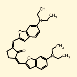 CCN(CC)c1ccc2cc(C=C3CCC(=Cc4cc5ccc(N(CC)CC)cc5o4)C3=O)oc2c1